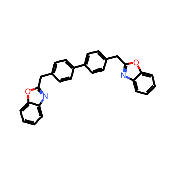 c1ccc2oc(Cc3ccc(-c4ccc(Cc5nc6ccccc6o5)cc4)cc3)nc2c1